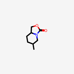 CC1CCC2COC(=O)N2C1